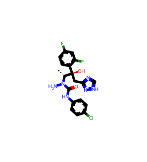 C[C@@H](N(N)C(=O)Nc1ccc(Cl)cc1)[C@@](O)(Cc1nc[nH]n1)c1ccc(F)cc1F